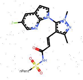 CCCCCS(=O)(=O)NC(=O)C=Cc1c(C)nn(C)c1-n1ccc2cc(F)cnc21